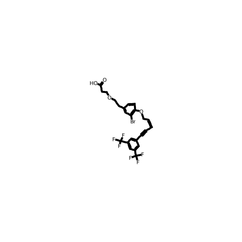 O=C(O)CCOCCc1ccc(OC/C=C\C#Cc2cc(C(F)(F)F)cc(C(F)(F)F)c2)c(Br)c1